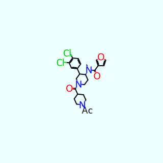 CC(=O)N1CCC(C(=O)N2CCC(N(C)C(=O)c3ccoc3)C(c3ccc(Cl)c(Cl)c3)C2)CC1